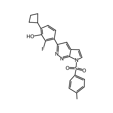 Cc1ccc(S(=O)(=O)n2ccc3cc(-c4ccc(C5CCC5)c(O)c4F)nnc32)cc1